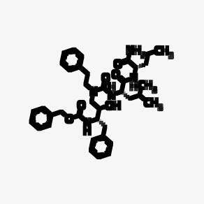 CCC[C@H](NC(=O)[C@H](CC(C)C)NC(=O)N(CCc1ccccc1)C[C@@H](O)[C@H](Cc1ccccc1)NC(=O)OCc1ccccc1)C(N)=O